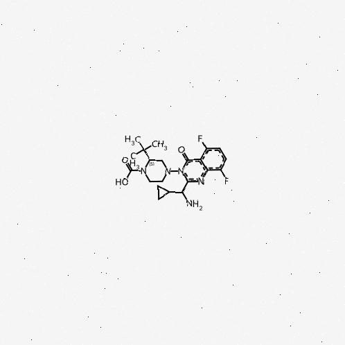 CC(C)(C)[C@H]1CN(n2c(C(N)C3CC3)nc3c(F)ccc(F)c3c2=O)CCN1C(=O)O